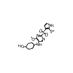 COc1nc(S(=O)(=O)c2cc[nH]c2SC)ncc1NC1CCC(O)CC1